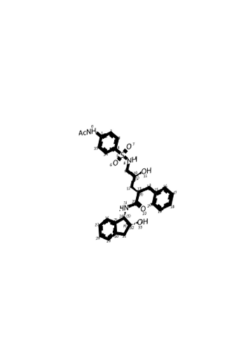 CC(=O)Nc1ccc(S(=O)(=O)NC[C@@H](O)C[C@@H](Cc2ccccc2)C(=O)N[C@H]2c3ccccc3C[C@H]2O)cc1